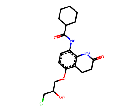 O=C1CCc2c(OCC(O)CCl)ccc(NC(=O)C3CCCCC3)c2N1